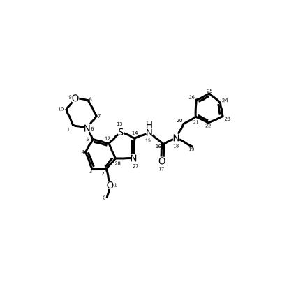 COc1ccc(N2CCOCC2)c2sc(NC(=O)N(C)Cc3ccccc3)nc12